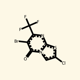 O=c1c(Br)c(C(F)(F)F)nc2sc(Cl)cn12